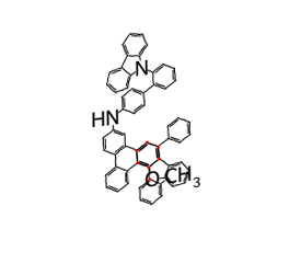 Cc1ccccc1-c1cc(-c2ccccc2)cc(-c2cc(Nc3ccc(-c4ccccc4-n4c5ccccc5c5ccccc54)cc3)ccc2-c2ccccc2-c2cccc3c2oc2ccccc23)c1